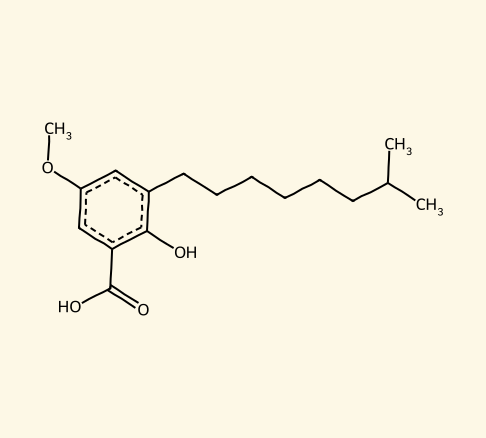 COc1cc(CCCCCCC(C)C)c(O)c(C(=O)O)c1